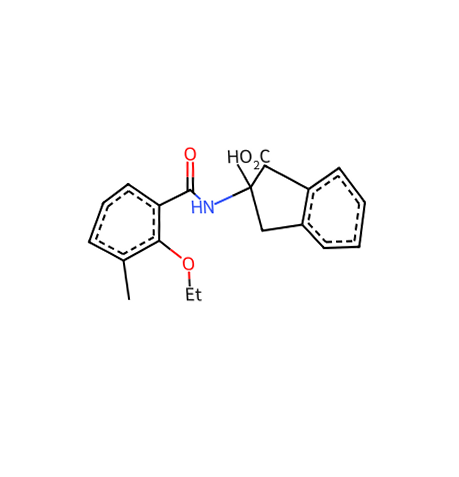 CCOc1c(C)cccc1C(=O)NC1(C(=O)O)Cc2ccccc2C1